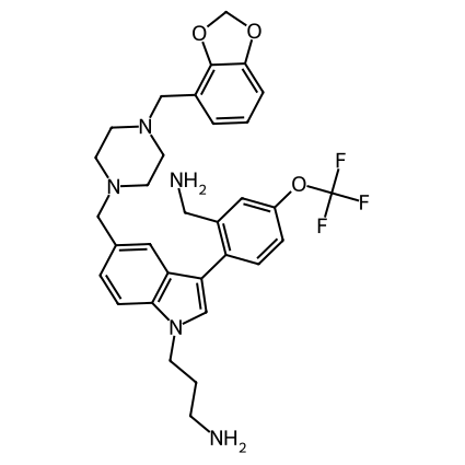 NCCCn1cc(-c2ccc(OC(F)(F)F)cc2CN)c2cc(CN3CCN(Cc4cccc5c4OCO5)CC3)ccc21